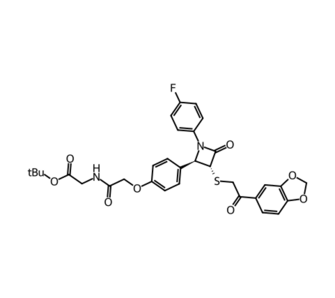 CC(C)(C)OC(=O)CNC(=O)COc1ccc([C@@H]2[C@@H](SCC(=O)c3ccc4c(c3)OCO4)C(=O)N2c2ccc(F)cc2)cc1